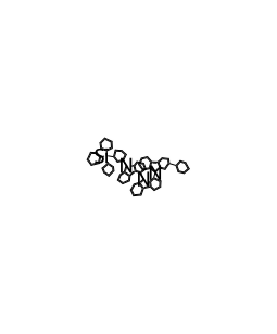 c1ccc(-c2ccc3c4ccccc4n(-c4cccc5c6ccccc6n(-c6cccc7c6c6ccccc6n7-c6cccc([Si](c7ccccc7)(c7ccccc7)c7ccccc7)c6)c45)c3c2)cc1